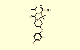 CC(C)[C@@H](C(=O)N1CCC(Oc2ccc(F)cc2F)CC1)N(C(=O)O)C(C)(C)C